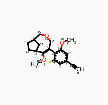 C#Cc1cc(F)c(/C2=C(\OC)C3CCC(COC2)C3)c(OC)c1